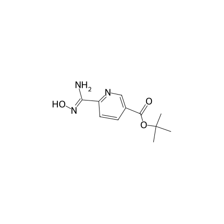 CC(C)(C)OC(=O)c1ccc(C(N)=NO)nc1